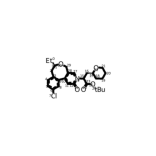 CC[C@@H]1Cc2ccc(Cl)cc2-c2cc(=O)n(C(C[C@@H]3CCCCO3)C(=O)OC(C)(C)C)cc2CO1